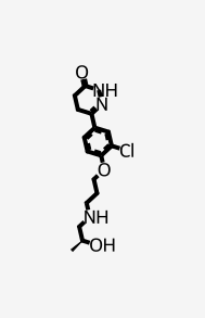 C[C@H](O)CNCCCOc1ccc(C2=NNC(=O)CC2)cc1Cl